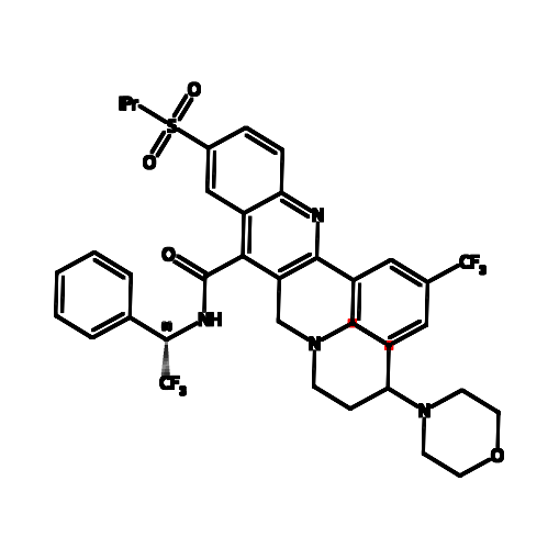 CC(C)S(=O)(=O)c1ccc2nc(-c3cccc(C(F)(F)F)c3)c(CN3CCC(N4CCOCC4)CC3)c(C(=O)N[C@@H](c3ccccc3)C(F)(F)F)c2c1